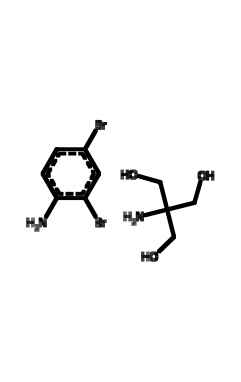 NC(CO)(CO)CO.Nc1ccc(Br)cc1Br